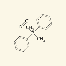 C[P+](C)(c1ccccc1)c1ccccc1.[C-]#N